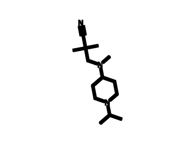 CC(C)N1CCC(N(C)CC(C)(C)C#N)CC1